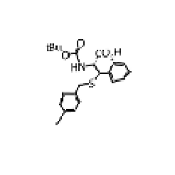 Cc1ccc(CS[C@H](c2ccccc2)[C@H](NC(=O)OC(C)(C)C)C(=O)O)cc1